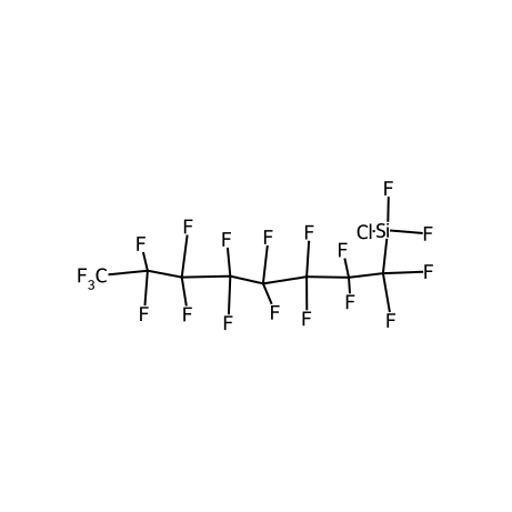 FC(F)(F)C(F)(F)C(F)(F)C(F)(F)C(F)(F)C(F)(F)C(F)(F)C(F)(F)[Si](F)(F)Cl